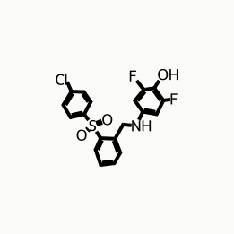 O=S(=O)(c1ccc(Cl)cc1)c1ccccc1CNc1cc(F)c(O)c(F)c1